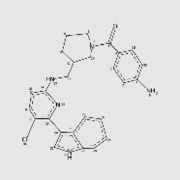 Nc1ccc(C(=O)N2CCCC(CNc3ncc(Cl)c(-c4c[nH]c5ccccc45)n3)C2)cc1